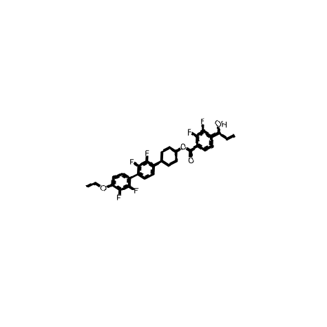 CCOc1ccc(-c2ccc(C3CCC(OC(=O)c4ccc(C(O)CC)c(F)c4F)CC3)c(F)c2F)c(F)c1F